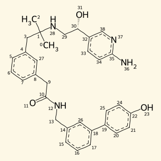 CC(C)(Cc1cccc(CC(=O)NCc2cccc(-c3ccc(O)cc3)c2)c1)NC[C@H](O)c1ccc(N)nc1